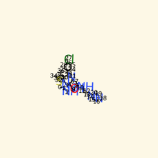 CC(=N)N1C(=N)C(CC(=O)NCCCN2CCN(C)CC2)N=C(c2ccc(Cl)cc2)c2c1sc(C)c2C